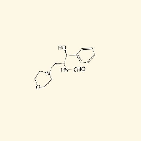 O=CN[C@@H](CN1CCOCC1)[C@@H](O)c1ccccc1